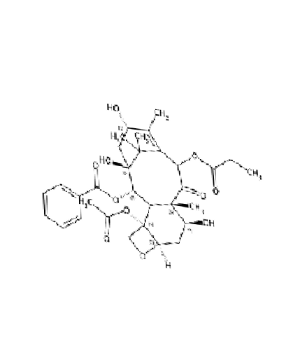 CCC(=O)OC1C(=O)[C@@]2(C)C([C@H](OC(=O)c3ccccc3)[C@]3(O)C[C@H](O)C(C)=C1C3(C)C)[C@]1(OC(C)=O)CO[C@@H]1C[C@@H]2O